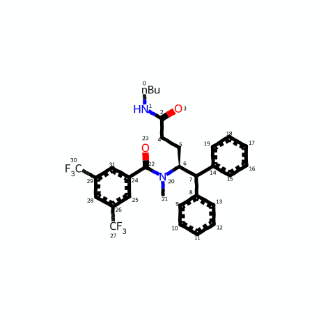 CCCCNC(=O)CC[C@@H](C(c1ccccc1)c1ccccc1)N(C)C(=O)c1cc(C(F)(F)F)cc(C(F)(F)F)c1